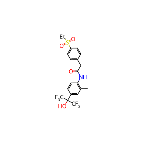 CCS(=O)(=O)c1ccc(CC(=O)Nc2ccc(C(O)(C(F)(F)F)C(F)(F)F)cc2C)cc1